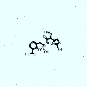 O=C(N[C@H]1Cc2cccc(C(=O)O)c2OB1O)/C(=N\O)c1csc(S)n1